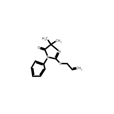 C=CCSC1=NC(C)(C)C(=O)N1c1ccccc1